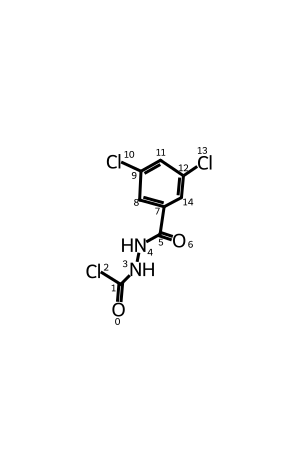 O=C(Cl)NNC(=O)c1cc(Cl)cc(Cl)c1